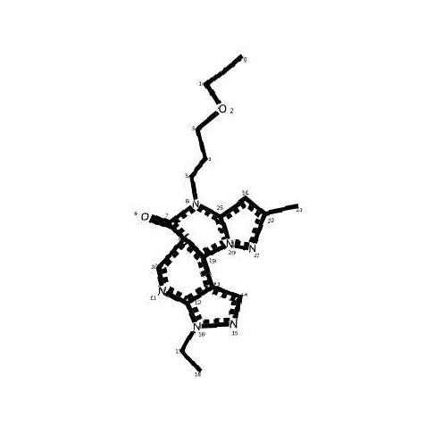 CCOCCCn1c(=O)c2cnc3c(cnn3CC)c2n2nc(C)cc12